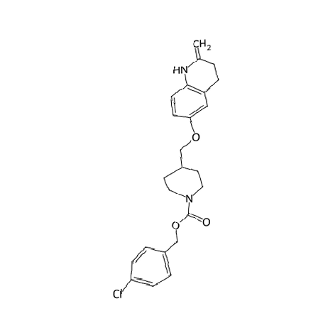 C=C1CCc2cc(OCC3CCN(C(=O)OCc4ccc(Cl)cc4)CC3)ccc2N1